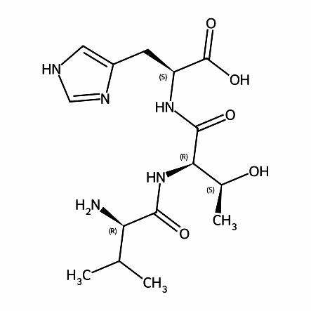 CC(C)[C@@H](N)C(=O)N[C@@H](C(=O)N[C@@H](Cc1c[nH]cn1)C(=O)O)[C@H](C)O